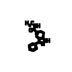 CNC(=O)N1CCc2[nH]nc(-c3ccccc3)c2C1